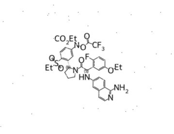 CCOC(=O)N(OC(=O)C(F)(F)F)c1ccc(S(=O)(=O)CC)c([C@H]2CCCN2C(=O)[C@@H](Nc2ccc3c(N)nccc3c2)c2cc(OCC)ccc2F)c1